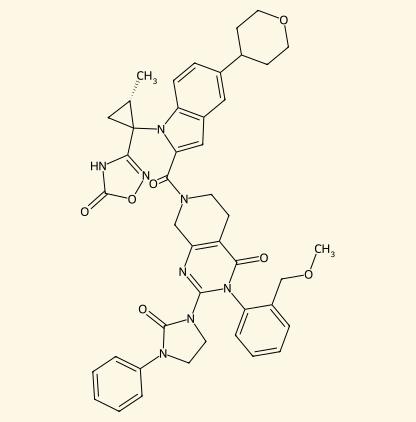 COCc1ccccc1-n1c(N2CCN(c3ccccc3)C2=O)nc2c(c1=O)CCN(C(=O)c1cc3cc(C4CCOCC4)ccc3n1C1(c3noc(=O)[nH]3)C[C@@H]1C)C2